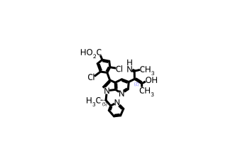 CC(=N)/C(=C(/C)O)c1cnc2c(c1)c(-c1c(Cl)cc(C(=O)O)cc1Cl)cn2[C@@H](C)c1ccccn1